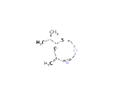 C=C1/C=C\C=C/CS/C(C(C)C)=C\1